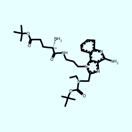 CCN(Cc1nc2c(N)nc3ccccc3c2n1CCCNC(=O)[C@@H](N)CCC(=O)OC(C)(C)C)C(=O)OC(C)(C)C